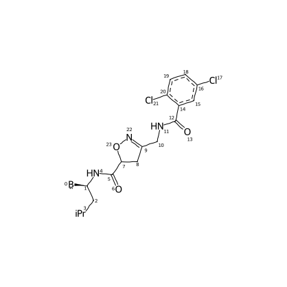 [B][C@H](CC(C)C)NC(=O)C1CC(CNC(=O)c2cc(Cl)ccc2Cl)=NO1